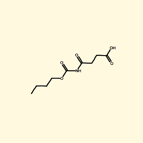 CCCCOC(=O)NC(=O)CCC(=O)O